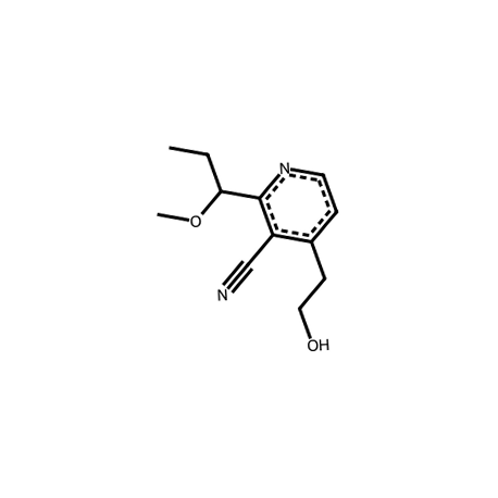 CCC(OC)c1nccc(CCO)c1C#N